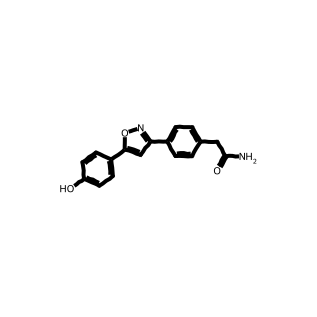 NC(=O)Cc1ccc(-c2cc(-c3ccc(O)cc3)on2)cc1